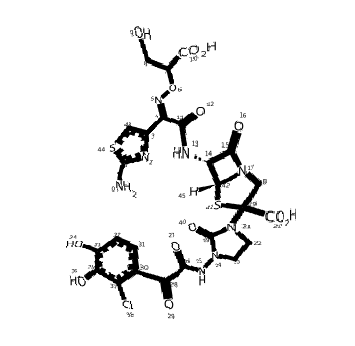 Nc1nc(/C(=N/OC(CO)C(=O)O)C(=O)N[C@@H]2C(=O)N3CC(C(=O)O)(N4CCN(NC(=O)C(=O)c5ccc(O)c(O)c5Cl)C4=O)S[C@H]23)cs1